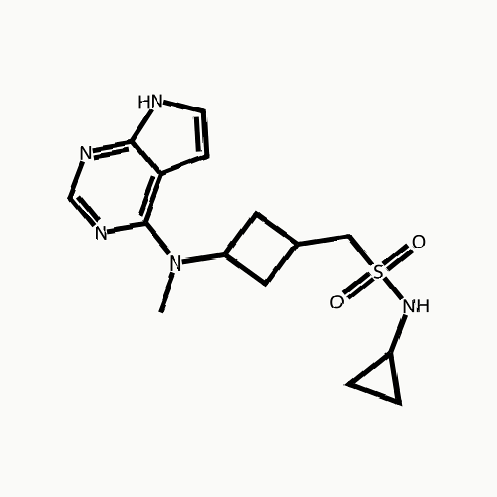 CN(c1ncnc2[nH]ccc12)C1CC(CS(=O)(=O)NC2CC2)C1